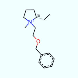 CC[C@H]1CCC[N+]1(C)CCOCc1ccccc1